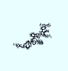 CC(=O)Nc1ccc(-c2nc(SCc3cccc(CCC(=O)N4CCN(CC5CCNCC5)CC4)[n+]3[O-])nc(N)c2C#N)cc1.Cl.Cl.Cl